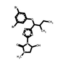 CCC(C)C(Oc1cc(Br)cc(Br)c1)c1nnc(N2C(=O)N(C)CC2O)s1